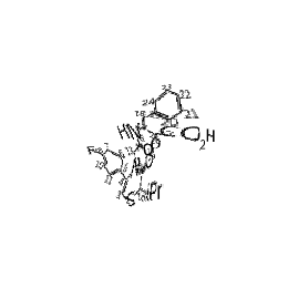 CC(C)C1SC=C(c2ccc(F)cc2)N(CC(=O)N[C@@H](Cc2ccccc2)C(=O)C(=O)O)C1=O